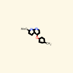 [CH2]c1ccc(Oc2ccnc3nc(OC)ccc23)cc1